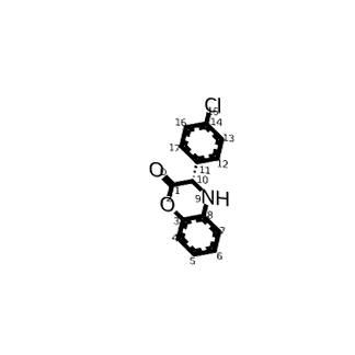 O=C1Oc2ccccc2N[C@H]1c1ccc(Cl)cc1